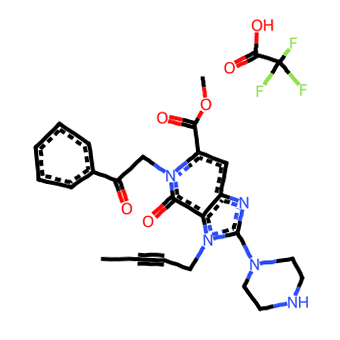 CC#CCn1c(N2CCNCC2)nc2cc(C(=O)OC)n(CC(=O)c3ccccc3)c(=O)c21.O=C(O)C(F)(F)F